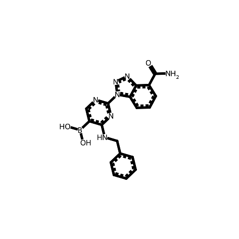 NC(=O)c1cccc2c1nnn2-c1ncc(B(O)O)c(NCc2ccccc2)n1